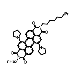 CCCCCCN1C(=O)c2ccc3c4c(N5CCCC5)cc5c6c(ccc(c7c(N8CCCC8)cc(c2c37)C1=O)c64)C(=O)N(CCCCCCC(C)C)C5=O